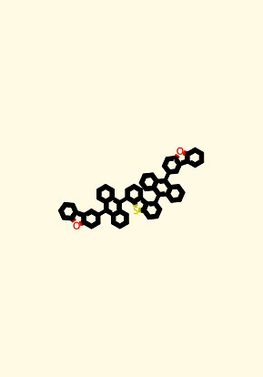 c1ccc2c(c1)oc1ccc(-c3c4ccccc4c(-c4cccc5c4sc4cccc(-c6c7ccccc7c(-c7ccc8oc9ccccc9c8c7)c7ccccc67)c45)c4ccccc34)cc12